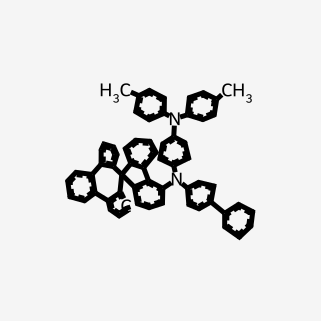 Cc1ccc(N(c2ccc(C)cc2)c2ccc(N(c3ccc(-c4ccccc4)cc3)c3cccc4c3-c3ccccc3C43c4ccccc4-c4ccccc4-c4ccccc43)cc2)cc1